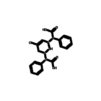 O=C(O)N(c1ccccc1)N1C=C(Cl)CN(N(C(=O)O)c2ccccc2)N1